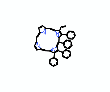 C=CC1=C(c2ccccc2)C2=NC1=CC1=NC(=CC3=NC(=CC4=NC(=C2c2ccccc2)C(c2ccccc2)=C4c2ccccc2)C=C3)C=C1